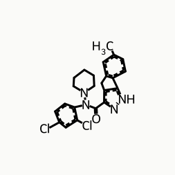 Cc1ccc2c(c1)Cc1c(C(=O)N(c3ccc(Cl)cc3Cl)N3CCCCC3)n[nH]c1-2